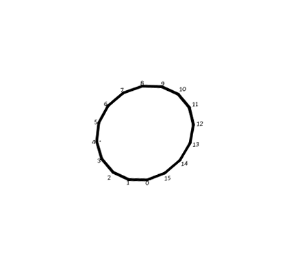 [CH]1CCC[CH]CCCCCCCCCCC1